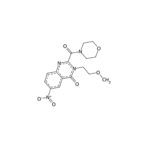 COCCn1c(C(=O)N2CCOCC2)nc2ccc([N+](=O)[O-])cc2c1=O